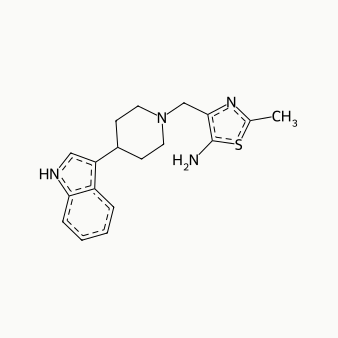 Cc1nc(CN2CCC(c3c[nH]c4ccccc34)CC2)c(N)s1